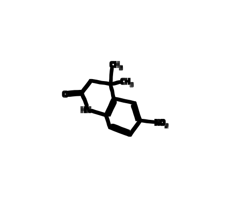 CC1(C)CC(=O)Nc2ccc([N+](=O)[O-])cc21